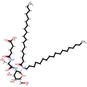 CCCCCCCCCCCCCCCCCCN(C(=O)CCCCCCCCCCCCCCCCC)[C@@H]1O[C@H](CO)[C@@H](O)[C@H](O)[C@H]1NC(=O)[C@H](CO)NC(=O)CCCC(=O)O